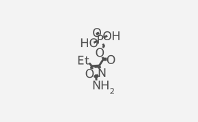 CCc1oc(N)nc1C(=O)OCP(=O)(O)O